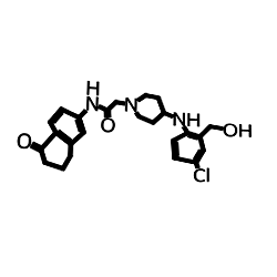 O=C(CN1CCC(Nc2ccc(Cl)cc2CO)CC1)Nc1ccc2c(c1)CCCC2=O